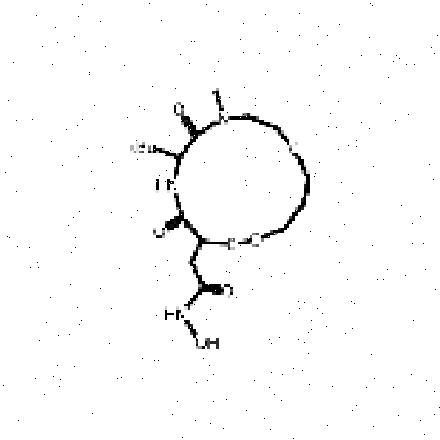 CN1CCCCCCCCC(CC(=O)NO)C(=O)NC(C(C)(C)C)C1=O